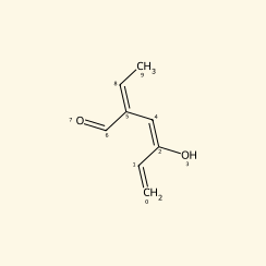 C=C/C(O)=C\C(C=O)=C/C